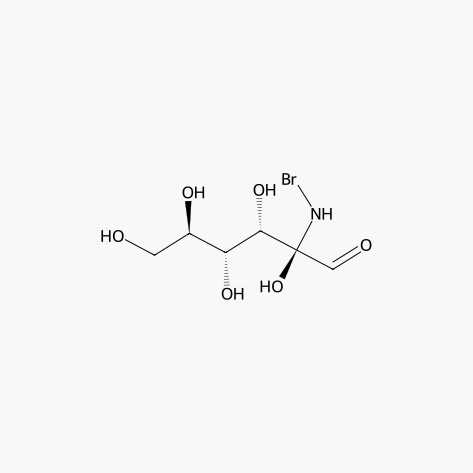 O=C[C@@](O)(NBr)[C@@H](O)[C@H](O)[C@H](O)CO